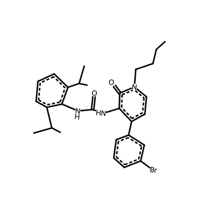 CCCCn1ccc(-c2cccc(Br)c2)c(NC(=O)Nc2c(C(C)C)cccc2C(C)C)c1=O